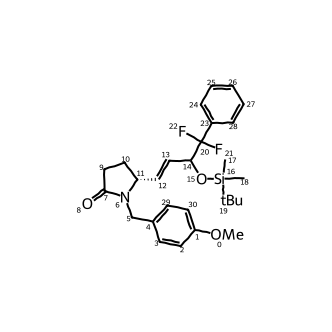 COc1ccc(CN2C(=O)CC[C@@H]2C=CC(O[Si](C)(C)C(C)(C)C)C(F)(F)c2ccccc2)cc1